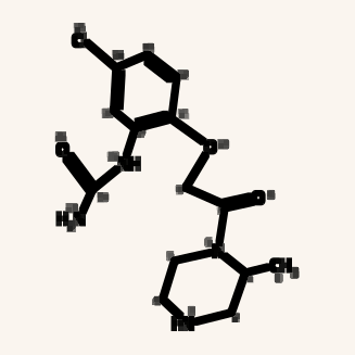 CC1CNCCN1C(=O)COc1ccc(Cl)cc1NC(N)=O